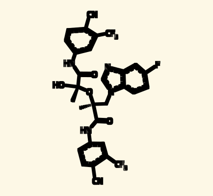 C[C@](O)(O[C@@](C)(Cn1cnc2cc(F)ccc21)C(=O)Nc1ccc(C#N)c(C(F)(F)F)c1)C(=O)Nc1ccc(C#N)c(C(F)(F)F)c1